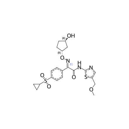 COCc1cnc(NC(=O)/C(=N/O[C@@H]2CC[C@@H](O)C2)c2ccc(S(=O)(=O)C3CC3)cc2)s1